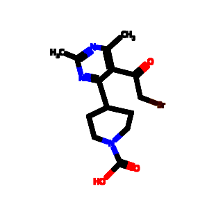 Cc1nc(C)c(C(=O)CBr)c(C2CCN(C(=O)O)CC2)n1